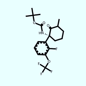 CC1CCC[C@@](NC(=O)OC(C)(C)C)(c2cccc(OC(F)(F)F)c2F)C1=O